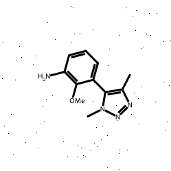 COc1c(N)cccc1-c1c(C)nnn1C